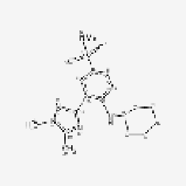 CNS(=O)(=O)c1ccc(NC2CCCCC2)c(-c2nc(C)n(C)n2)c1